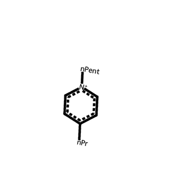 CCCCC[n+]1ccc(CCC)cc1